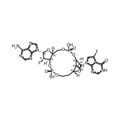 Nc1ncnc2c1ncn2[C@@H]1O[C@@H]2COP(=O)(O)O[C@@H]3[C@H](O)[C@@H](CCOP(=O)(S)O[C@H]2[C@H]1F)O[C@H]3n1cc(F)c2c(=O)[nH]cnc21